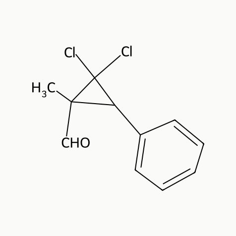 CC1(C=O)C(c2ccccc2)C1(Cl)Cl